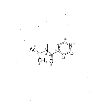 CC(=O)C(C)NC(=O)c1ccncc1